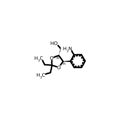 CCC1(CC)O[C@H](c2ccccc2N)[C@@H](CO)O1